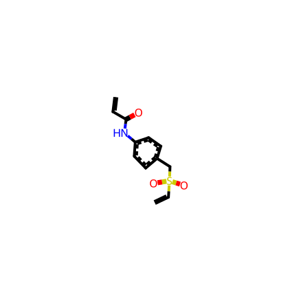 C=CC(=O)Nc1ccc(CS(=O)(=O)C=C)cc1